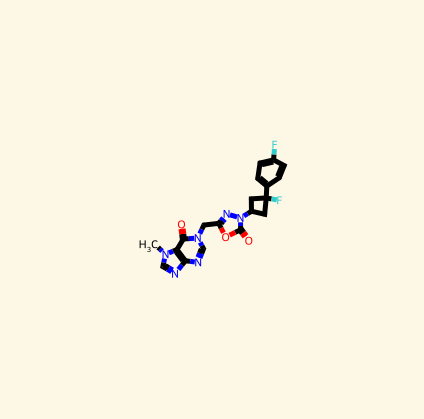 Cn1cnc2ncn(Cc3nn(C4CC(F)(c5ccc(F)cc5)C4)c(=O)o3)c(=O)c21